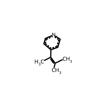 CC(C)=C(C)c1ccncc1